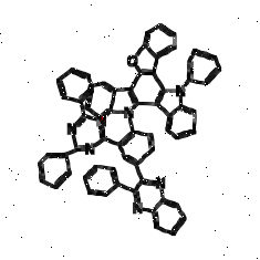 c1ccc(-c2nc(-c3ccccc3)nc(-c3cc(-c4nc5ccccc5nc4-c4ccccc4)ccc3-n3c4ccccc4c4c5oc6ccccc6c5c5c(c6ccccc6n5-c5ccccc5)c43)n2)cc1